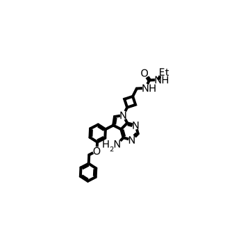 CCNC(=O)NCC1CC(n2cc(-c3cccc(OCc4ccccc4)c3)c3c(N)ncnc32)C1